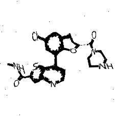 CNC(=O)c1cc2nccc(-c3cc(Cl)cc4c3O[C@@H](C(=O)N3CCNCC3)C4)c2s1